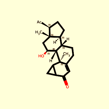 CC(=O)[C@H]1CC[C@H]2[C@@H]3CCC4=CC(=O)C5CC5[C@@]4(C)[C@@H]3[C@@H](O)C[C@]12C